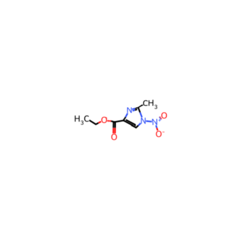 CCOC(=O)c1cn([N+](=O)[O-])c(C)n1